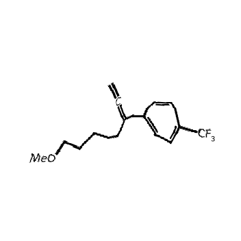 C=C=C(CCCCOC)c1ccc(C(F)(F)F)cc1